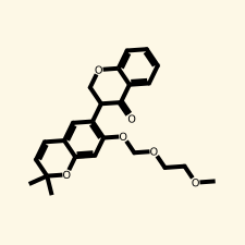 COCCOCOc1cc2c(cc1C1COc3ccccc3C1=O)C=CC(C)(C)O2